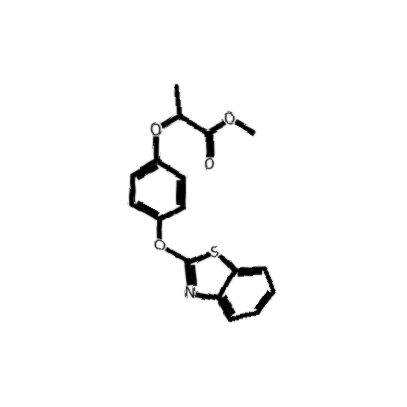 COC(=O)C(C)Oc1ccc(Oc2nc3ccccc3s2)cc1